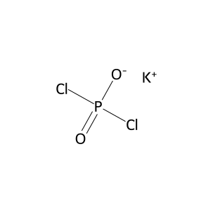 O=P([O-])(Cl)Cl.[K+]